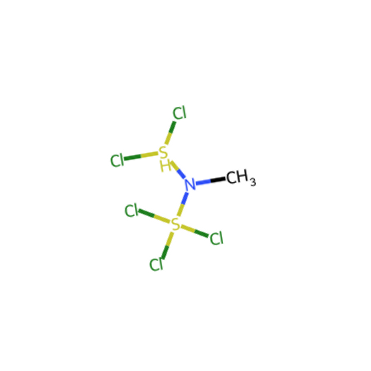 CN([SH](Cl)Cl)S(Cl)(Cl)Cl